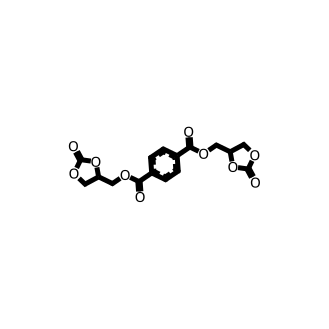 O=C1OCC(COC(=O)c2ccc(C(=O)OCC3COC(=O)O3)cc2)O1